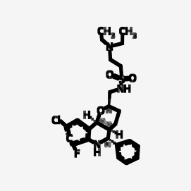 CCN(CC)CCS(=O)(=O)NC[C@H]1CC[C@@H]2[C@H](O1)c1cc(Cl)cc(F)c1N[C@H]2c1ccccc1